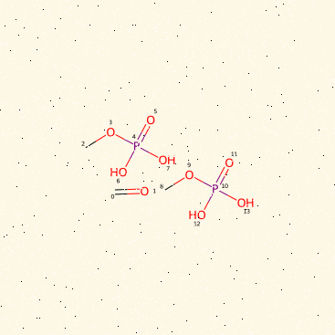 C=O.COP(=O)(O)O.COP(=O)(O)O